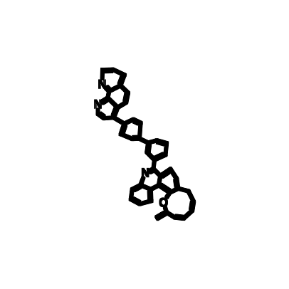 C=C1/C=C\C=C/Cc2ccc3c(-c4cccc(-c5ccc(-c6ccnc7c6ccc6cccnc67)cc5)c4)nc4ccccc4c3c2O1